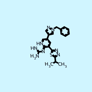 CC(C)c1nnc(-c2cc(-c3cnn(Cc4ccccc4)c3)c[nH]/c2=N\C(=N)N)s1